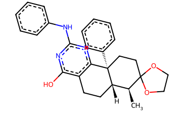 C[C@H]1[C@@H]2CCc3c(O)nc(Nc4ccccc4)nc3[C@@]2(c2ccccc2)CCC12OCCO2